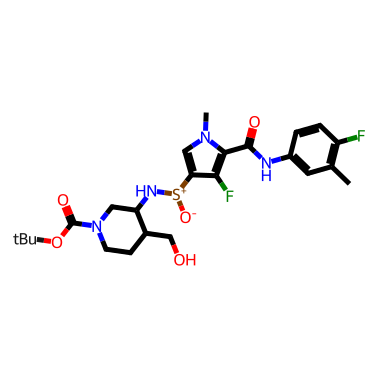 Cc1cc(NC(=O)c2c(F)c([S+]([O-])NC3CN(C(=O)OC(C)(C)C)CCC3CO)cn2C)ccc1F